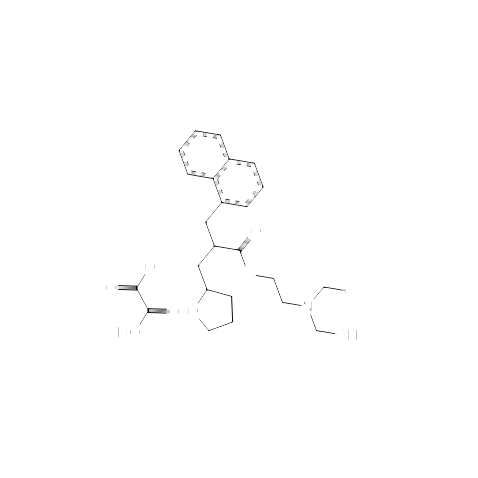 CCN(CC)CCOC(=O)C(Cc1cccc2ccccc12)CC1CCCO1.O=C(O)C(=O)O